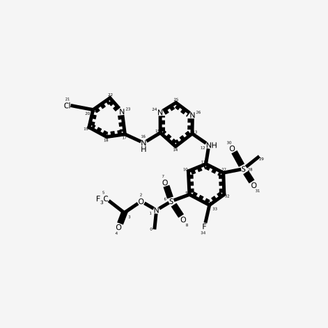 CN(OC(=O)C(F)(F)F)S(=O)(=O)c1cc(Nc2cc(Nc3ccc(Cl)cn3)ncn2)c(S(C)(=O)=O)cc1F